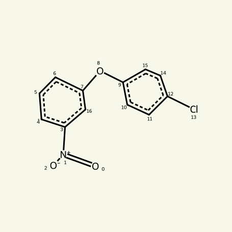 O=[N+]([O-])c1[c]ccc(Oc2ccc(Cl)cc2)c1